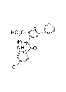 CC(C)N(C(=O)c1ccc(Cl)cc1N)c1cc(-c2ccccc2)sc1C(=O)O